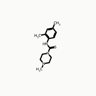 Cc1ccc(NC(=S)N2CCN(C)CC2)c(C)c1